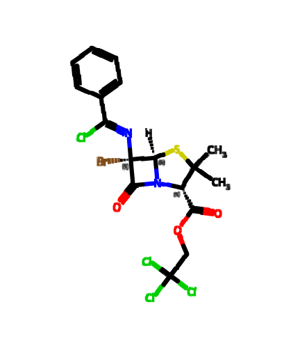 CC1(C)S[C@H]2N(C(=O)[C@@]2(Br)N=C(Cl)c2ccccc2)[C@H]1C(=O)OCC(Cl)(Cl)Cl